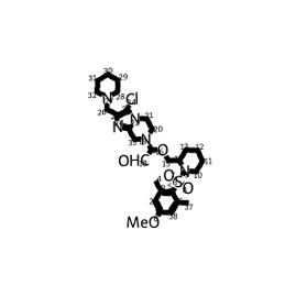 COc1cc(C)c(S(=O)(=O)N2CCCCC2COC(C=O)N2CCn3c(nc(CN4CCCCC4)c3Cl)C2)c(C)c1